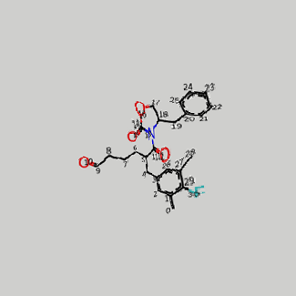 Cc1cc(CC(CCCC=O)C(=O)N2C(=O)OCC2Cc2ccccc2)cc(C)c1F